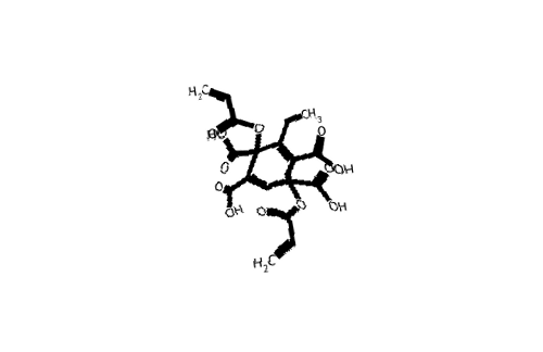 C=CC(=O)OC1(C(=O)O)C=C(C(=O)O)C(OC(=O)C=C)(C(=O)O)C(CC)=C1C(=O)O